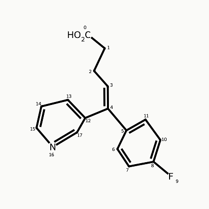 O=C(O)CCC=C(c1ccc(F)cc1)c1cccnc1